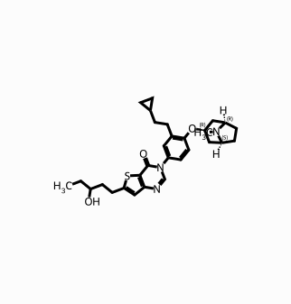 CCC(O)CCc1cc2ncn(-c3ccc(O[C@H]4C[C@H]5CC[C@@H](C4)N5C)c(CCC4CC4)c3)c(=O)c2s1